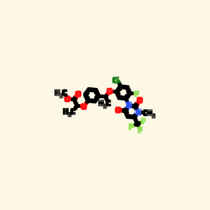 COC(=O)C(C)Oc1cccc(C(C)Oc2cc(-n3c(=O)cc(C(F)(F)F)n(C)c3=O)c(F)cc2Cl)c1